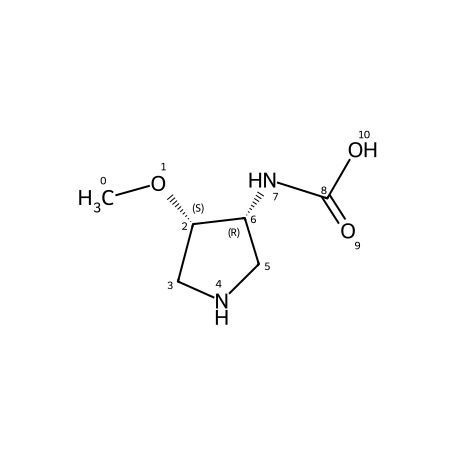 CO[C@H]1CNC[C@H]1NC(=O)O